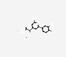 COC(=O)C(N=[N+]=[N-])c1cc(Cl)nc(-c2ccc(F)c(Cl)c2)c1